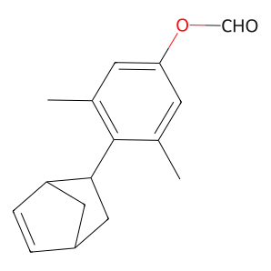 Cc1cc(OC=O)cc(C)c1C1CC2C=CC1C2